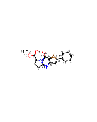 COC(=O)C1CCc2nc3cc(-c4ccccc4)sc3c(=O)n21